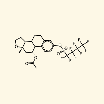 CC(=O)O[C@@H]1C[C@]2(C)OCCC2C2CCc3cc(OS(=O)(=O)C(F)(F)C(F)(F)C(F)(F)C(F)(F)F)ccc3C21